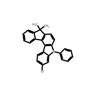 CC1(C)c2ccccc2-c2c1ccc1c2c2ccc(Cl)cc2n1-c1ccccc1